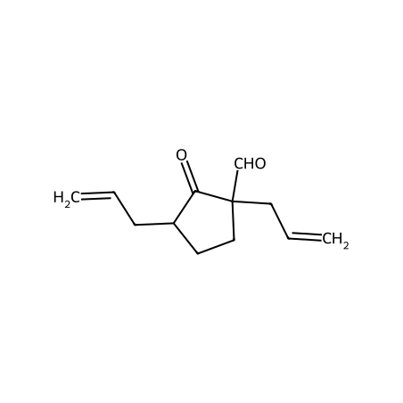 C=CCC1CCC(C=O)(CC=C)C1=O